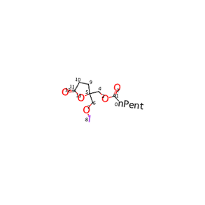 CCCCCC(=O)OCC1(COI)CCC(=O)O1